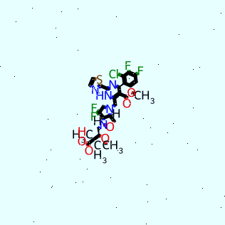 COC(=O)C1=C(CN2CC(F)(F)[C@H]3[C@@H]2CON3C[C@@H](OC)C(C)(C)C(=O)O)NC(c2nccs2)=N[C@H]1c1ccc(F)c(F)c1Cl